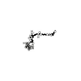 COCCC(C)(C)SSCOCCCCOC(=O)NCC#Cc1cn([C@H]2C[C@H](OCSSC)[C@@H](COP(=O)(O)OP(=O)(O)OP(=O)(O)O)O2)c(=O)nc1N